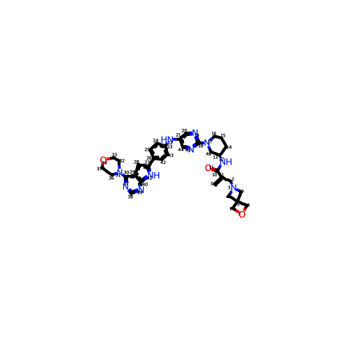 C=C(CN1CC2(COC2)C1)C(=O)N[C@@H]1CCCN(c2ncc(Nc3ccc(-c4cc5c(N6CCOCC6)ncnc5[nH]4)cc3)cn2)C1